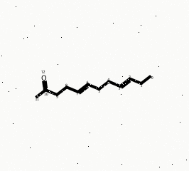 CCC=CCCC=CCCC(C)=O